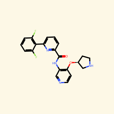 O=C(Nc1cnccc1O[C@H]1CCNC1)c1cccc(-c2c(F)cccc2F)n1